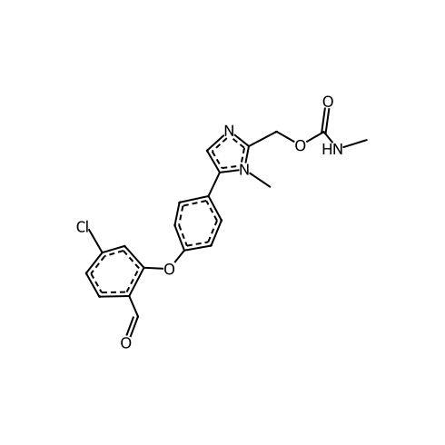 CNC(=O)OCc1ncc(-c2ccc(Oc3cc(Cl)ccc3C=O)cc2)n1C